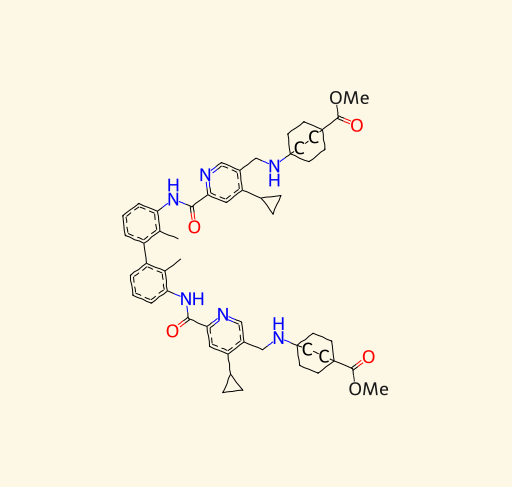 COC(=O)C12CCC(NCc3cnc(C(=O)Nc4cccc(-c5cccc(NC(=O)c6cc(C7CC7)c(CNC78CCC(C(=O)OC)(CC7)CC8)cn6)c5C)c4C)cc3C3CC3)(CC1)CC2